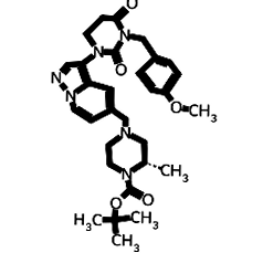 COc1ccc(CN2C(=O)CCN(c3cnn4ccc(CN5CCN(C(=O)OC(C)(C)C)[C@@H](C)C5)cc34)C2=O)cc1